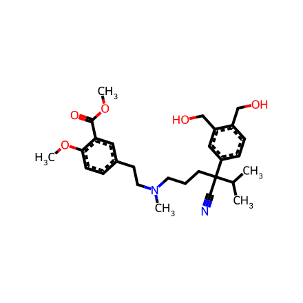 COC(=O)c1cc(CCN(C)CCCC(C#N)(c2ccc(CO)c(CO)c2)C(C)C)ccc1OC